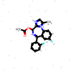 CC(=O)OC1N=C(c2ccccc2F)c2cc(F)ccc2-n2c(C)cnc21